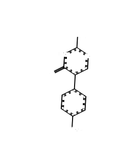 COc1ccc(-c2cnc(C(=O)O)[nH]c2=O)cc1